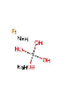 O[Si](O)(O)O.[NaH].[NaH].[P]